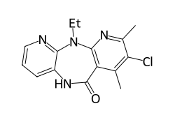 CCN1c2ncccc2NC(=O)c2c1nc(C)c(Cl)c2C